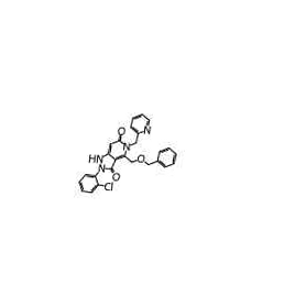 O=c1c2c(COCc3ccccc3)n(Cc3ccccn3)c(=O)cc2[nH]n1-c1ccccc1Cl